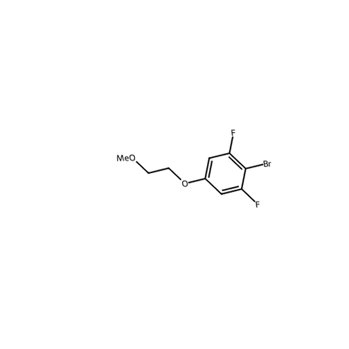 COCCOc1cc(F)c(Br)c(F)c1